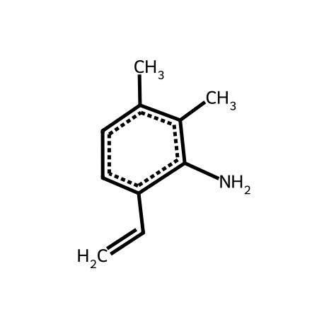 C=Cc1ccc(C)c(C)c1N